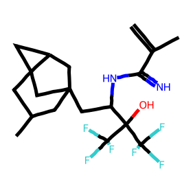 C=C(C)C(=N)NC(CC12CC(C)CC3(CC3C1)C2)C(O)(C(F)(F)F)C(F)(F)F